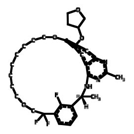 Cc1nc2c3cc(OC4CCOC4)c(cc3n1)OCCCCCCCCOCC(F)(F)c1cccc(c1F)[C@@H](C)N2